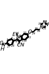 CCOC(=O)Nc1ccc(-c2c(C#N)c3ccc(OCCCn4cnnc4)cc3n2CC)cc1